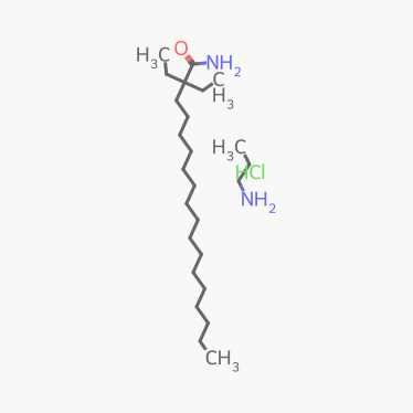 CCCCCCCCCCCCCCCCC(CC)(CC)C(N)=O.CCCN.Cl